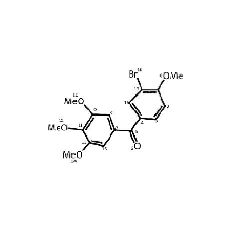 COc1ccc(C(=O)c2cc(OC)c(OC)c(OC)c2)cc1Br